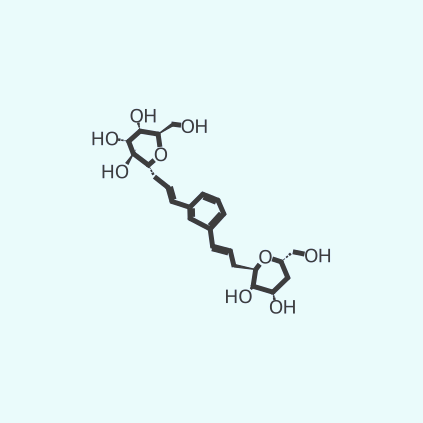 OC[C@@H]1C[C@H](O)[C@H](O)[C@@H](C/C=C/c2cccc(/C=C/C[C@H]3O[C@H](CO)[C@@H](O)[C@@H](O)[C@@H]3O)c2)O1